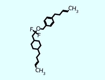 CC=CCCc1ccc(COC(F)(F)CC2CCC(CCC=CC)CC2)cc1